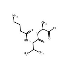 CC(C)[C@H](NC(=O)CCCN)C(=O)O[C@@H](C)C(=O)O